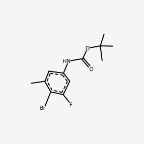 Cc1cc(NC(=O)OC(C)(C)C)cc(F)c1Br